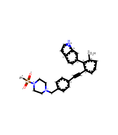 CC(C)S(=O)(=O)N1CCN(Cc2ccc(C#Cc3cccc(C(=O)O)c3-c3ccc4cc[nH]c4c3)cc2)CC1